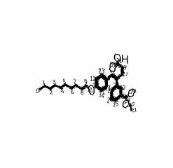 CCCCCCCCCCOc1ccc(/C=C(/C=C\C(=O)O)c2cccc(C(=O)OCC)c2)cc1